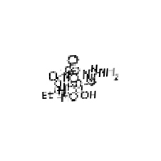 CCC(CC)COC(=O)[C@H](C)NP(=O)(OC[C@@]1(C#N)O[C@@H](c2ccc3c(N)ncnn23)[C@H](O)[C@@H]1O)Oc1ccccc1